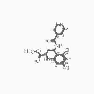 COC(=O)C1CC(NC(=O)c2ccncc2)c2c(Cl)cc(Cl)cc2N1